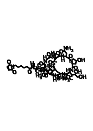 CC[C@H](C)[C@@H]1NC(=O)CNC(=O)[C@@H]2Cc3c([nH]c4c(CSCCNC(=O)CCCCCN5C(=O)C=CC5=O)c(O)ccc34)[S+]([O-])C[C@H](NC(=O)CNC1=O)C(=O)N[C@@H](CC(N)=O)C(=O)N1C[C@H](O)CC1C(=O)N[C@@H]([C@@H](C)[C@@H](O)CO)C(=O)N2